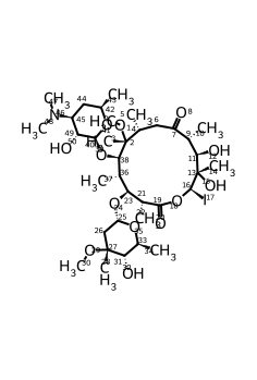 CO[C@]1(C)[C@H](C)CC(=O)[C@H](C)[C@@H](O)[C@](C)(O)[C@@H](I)OC(=O)[C@H](C)[C@@H](O[C@H]2C[C@@](C)(OC)[C@@H](O)[C@H](C)O2)[C@H](C)[C@H]1O[C@@H]1O[C@H](C)C[C@H](N(C)C)[C@H]1O